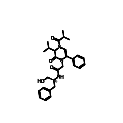 CC(C)C(=O)N1C=C(c2ccccc2)N(CC(=O)N[C@H](CO)Cc2ccccc2)C(=O)C1C(C)C